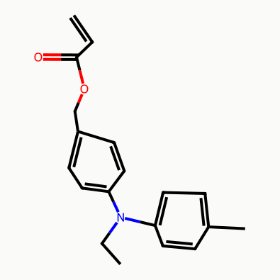 C=CC(=O)OCc1ccc(N(CC)c2ccc(C)cc2)cc1